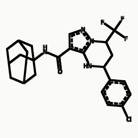 O=C(NC12CC3CC(CC(C3)C1)C2)c1cnn2c1NC(c1ccc(Cl)cc1)CC2C(F)(F)F